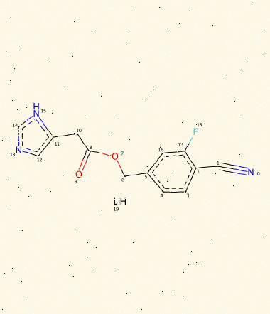 N#Cc1ccc(COC(=O)Cc2cnc[nH]2)cc1F.[LiH]